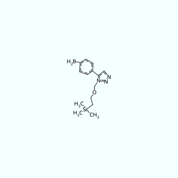 Bc1ccc(-c2cnnn2COCC[Si](C)(C)C)cc1